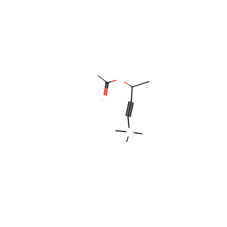 CCC(=O)OC(C)C#C[Si](C)(C)C